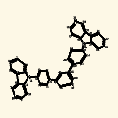 c1ccc2c(c1)c1cnccc1n2-c1ccc(-c2cncc(-c3ccc(-n4c5ccccc5c5cnccc54)cc3)c2)cc1